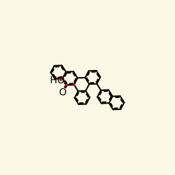 CC(C(=O)O)c1ccccc1-c1c(-c2ccc3ccccc3c2)cccc1-c1ccc2ccccc2c1